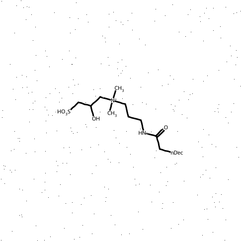 CCCCCCCCCCCC(=O)NCCC[N+](C)(C)CC(O)CS(=O)(=O)O